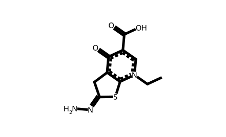 CCn1cc(C(=O)O)c(=O)c2c1SC(=NN)C2